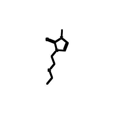 CCOCCn1ccn(C)c1=O